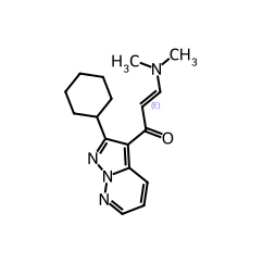 CN(C)/C=C/C(=O)c1c(C2CCCCC2)nn2ncccc12